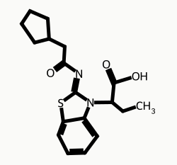 CCC(C(=O)O)n1c(=NC(=O)CC2CCCC2)sc2ccccc21